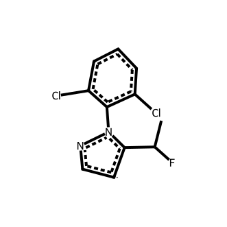 CC(F)c1[c]cnn1-c1c(Cl)cccc1Cl